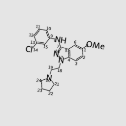 COc1ccc2c(c1)c(Nc1cccc(Cl)c1)nn2CCN1CCCC1